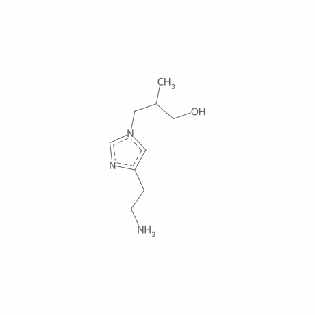 CC(CO)Cn1cnc(CCN)c1